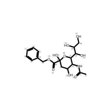 CC(=O)NC1C(O)CC(O)(C(=O)OCc2ccccc2)OC1C(O)C(O)CO